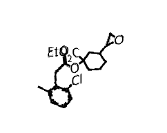 CCOC(=O)C1(OC(=O)Cc2c(C)cccc2Cl)CCCC(C2CO2)C1